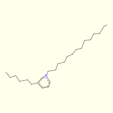 CCCCCCCCCCCCCC[n+]1cccc(CCCCCC)c1